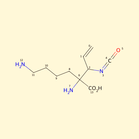 C=CC(N=C=O)C(N)(CCCCN)C(=O)O